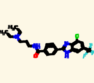 CCN(CC)CCCNC(=O)c1ccc(-c2nc3c(Cl)cc(C(F)(F)F)cc3[nH]2)cc1